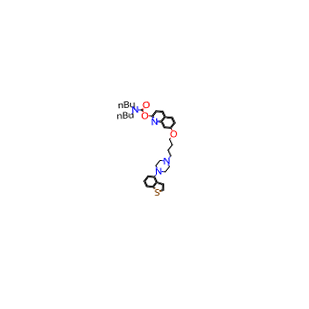 CCCCN(CCCC)C(=O)Oc1ccc2ccc(OCCCCN3CCN(c4cccc5sccc45)CC3)cc2n1